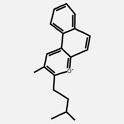 Cc1cc2c(ccc3ccccc32)[o+]c1CCC(C)C